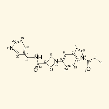 CCC(=O)n1ccc2cc(N3CC(C(=O)NCc4cccnc4)C3)ccc21